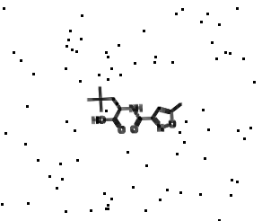 Cc1cc(C(=O)NC(CC(C)(C)C)C(=O)O)no1